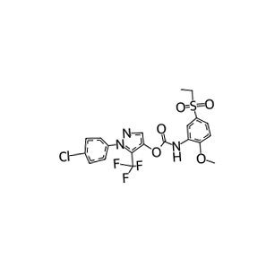 CCS(=O)(=O)c1ccc(OC)c(NC(=O)Oc2cnn(-c3ccc(Cl)cc3)c2C(F)(F)F)c1